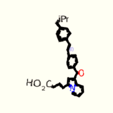 CC(C)Cc1ccc(/C=C/c2ccc(C(=O)c3cc(CCCC(=O)O)n4ccccc34)cc2)cc1